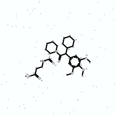 COc1cc(C(C(=O)N2CCCC[C@H]2C(=O)NCCC(N)=O)C2CCCCC2)cc(OC)c1OC